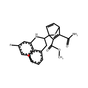 COC(=O)C1=C(C(N)=O)C2C=CC1(C(Cc1ccccc1)Nc1cc(F)cc(F)c1)O2